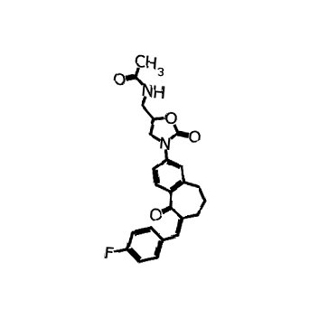 CC(=O)NCC1CN(c2ccc3c(c2)CCC/C(=C/c2ccc(F)cc2)C3=O)C(=O)O1